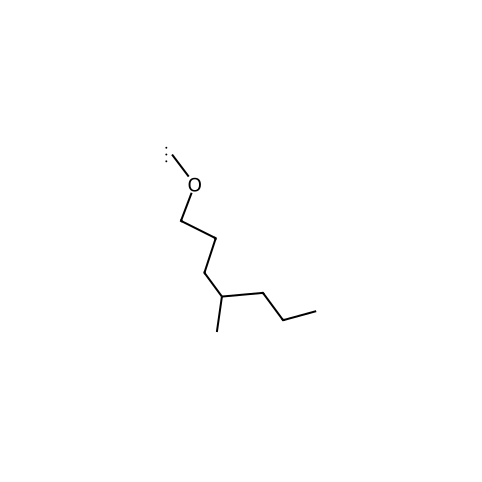 [C]OCCCC(C)CCC